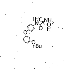 CCCCOc1cccc(Oc2ccc(NC(=O)[C@@](C)(N)CO)cc2)c1